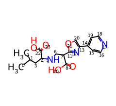 CC(C)CC(NCC(C(=O)O)c1nc(-c2ccncc2)co1)C(=O)O